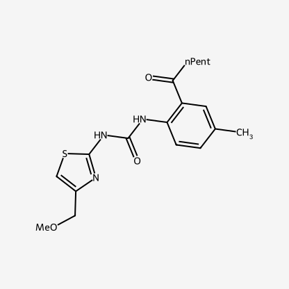 CCCCCC(=O)c1cc(C)ccc1NC(=O)Nc1nc(COC)cs1